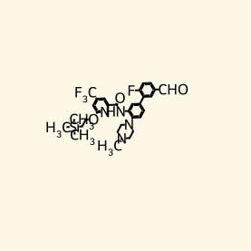 CN1CCN(c2ccc(-c3cc(C=O)ccc3F)cc2NC(=O)c2cc(C(F)(F)F)cc(OCC[Si](C)(C)C)n2)CC1